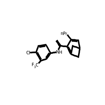 C=C(Nc1ccc(Cl)c(C(F)(F)F)c1)C1=C2CC(C=C1CCC)C2